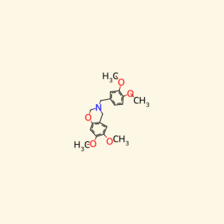 COc1ccc(CN2COc3cc(OC)c(OC)cc3C2)cc1OC